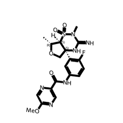 COc1cnc(C(=O)Nc2ccc(F)c([C@]34CO[C@H](C)[C@H]3S(=O)(=O)N(C)C(=N)N4)c2)cn1